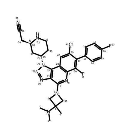 CN(C)C1(C)CN(c2nc3c(F)c(-c4ccc(F)cc4)c(Cl)cc3c3c2nnn3[C@H]2CCN[C@H](CC#N)C2)C1